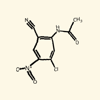 CC(=O)Nc1cc(Cl)c([N+](=O)[O-])cc1C#N